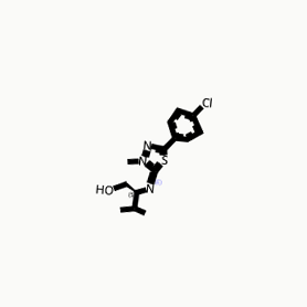 CC(C)[C@@H](CO)/N=c1/sc(-c2ccc(Cl)cc2)nn1C